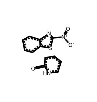 O=[N+]([O-])c1nc2ccccc2s1.O=c1cccc[nH]1